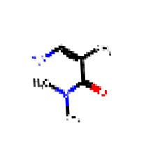 CC(=CN)C(=O)N(C)C